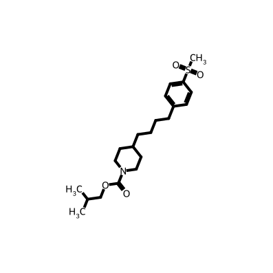 CC(C)COC(=O)N1CCC(CCCCc2ccc(S(C)(=O)=O)cc2)CC1